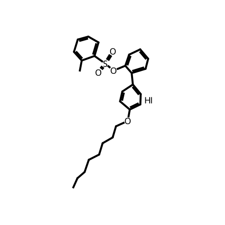 CCCCCCCCOc1ccc(-c2ccccc2OS(=O)(=O)c2ccccc2C)cc1.I